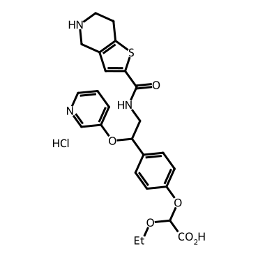 CCOC(Oc1ccc(C(CNC(=O)c2cc3c(s2)CCNC3)Oc2cccnc2)cc1)C(=O)O.Cl